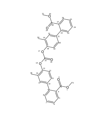 COC(=O)c1ccccc1-c1ccc(OC(=O)Oc2ccc(-c3ccccc3C(=O)OC)cc2C)c(C)c1